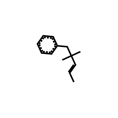 [CH2]C(C)(C=CC)Cc1ccccc1